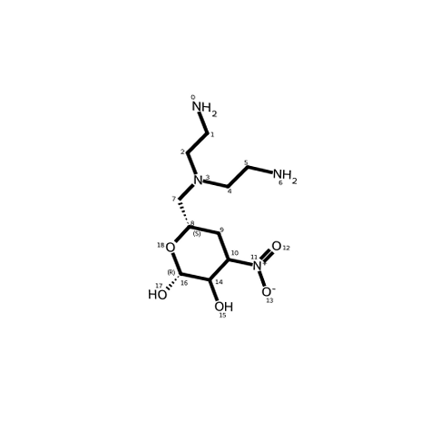 NCCN(CCN)C[C@@H]1CC([N+](=O)[O-])C(O)[C@H](O)O1